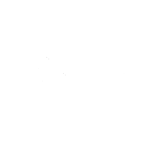 C=C1CN2C(=NC1=O)OCC2O[C@@H](CO)[C@@H](C)O